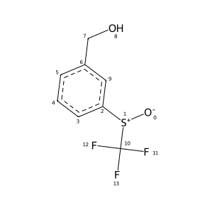 [O-][S+](c1cccc(CO)c1)C(F)(F)F